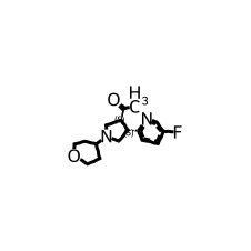 CC(=O)[C@@H]1CN(C2CCOCC2)C[C@H]1c1ccc(F)cn1